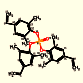 C=Cc1cc(C)c(OP(=O)(Oc2c(C)cc(C=C)cc2C)Oc2c(C)cc(C=C)cc2C)c(C)c1